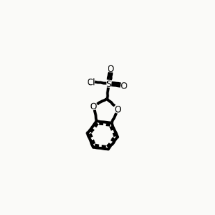 O=S(=O)(Cl)C1Oc2ccccc2O1